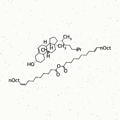 CC(C)CCCC(C)[C@H]1CC[C@H]2[C@@H]3CC=C4C[C@@H](O)CC[C@]4(C)[C@H]3CC[C@]12C.CCCCCCCCC=CCCCCCCCC(=O)OC(=O)CCCCCCC/C=C\CCCCCCCC